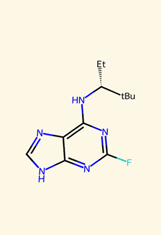 CC[C@@H](Nc1nc(F)nc2[nH]cnc12)C(C)(C)C